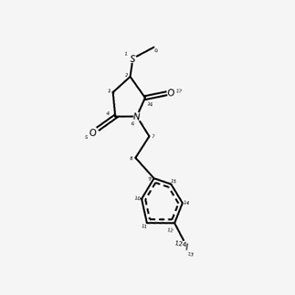 CSC1CC(=O)N(CCc2ccc([124I])cc2)C1=O